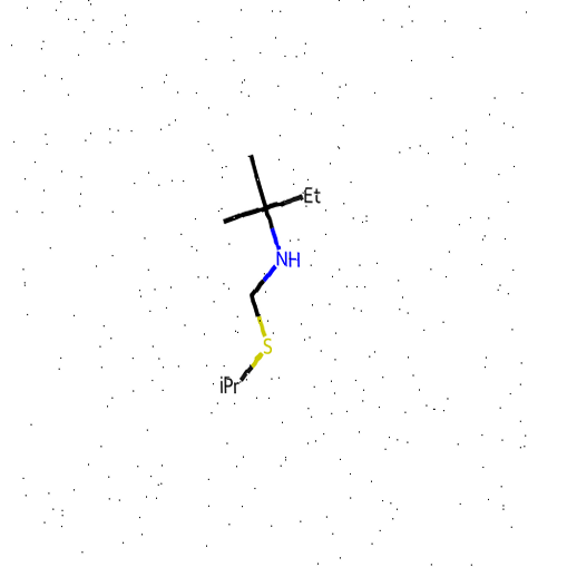 CCC(C)(C)NCSC(C)C